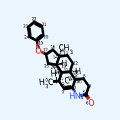 CC1C=C2NC(=O)CC[C@]2(C)[C@@H]2CC[C@]3(C)CC(Oc4ccccc4)C[C@H]3[C@H]12